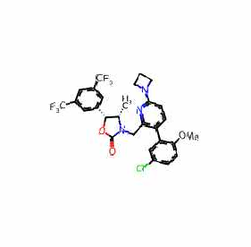 COc1ccc(Cl)cc1-c1ccc(N2CCC2)nc1CN1C(=O)O[C@H](c2cc(C(F)(F)F)cc(C(F)(F)F)c2)[C@@H]1C